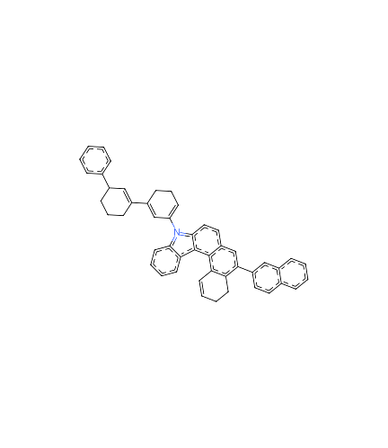 C1=Cc2c(c(-c3ccc4ccccc4c3)cc3ccc4c(c5ccccc5n4C4=CCCC(C5=CC(c6ccccc6)CCC5)=C4)c23)CC1